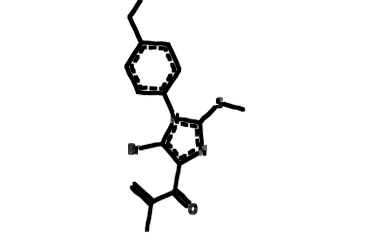 C=C(C)C(=O)c1nc(SC)n(-c2ccc(CC)cc2)c1Br